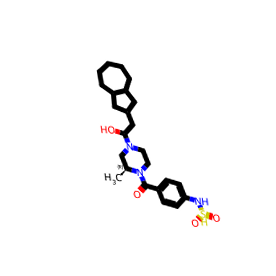 C[C@@H]1CN(C(O)CC2CC3CCCCCC3C2)CCN1C(=O)c1ccc(N[SH](=O)=O)cc1